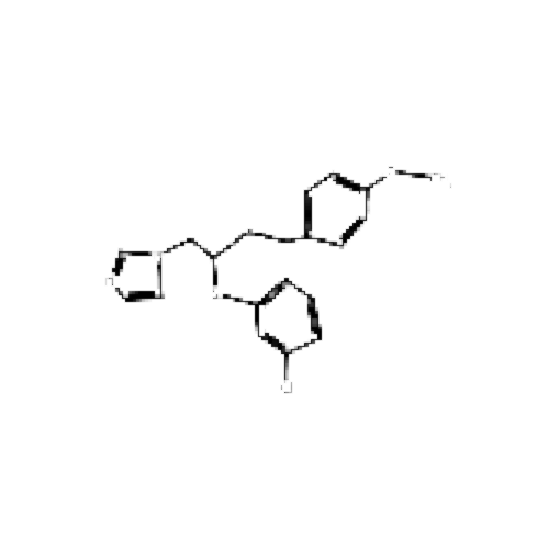 COc1ccc(CCC(Cn2ccnc2)Sc2cccc(Cl)c2)cc1